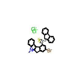 Cn1c2c(c3ccccc31)-c1c(cc(Br)c[c]1[Zr+2](=[S])[CH]1c3ccccc3-c3ccccc31)C2.[Cl-].[Cl-]